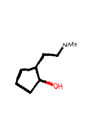 CNCCC1CCCC1O